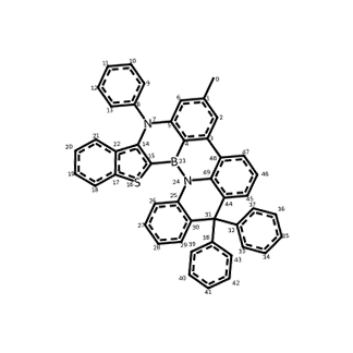 Cc1cc2c3c(c1)N(c1ccccc1)c1c(sc4ccccc14)B3N1c3ccccc3C(c3ccccc3)(c3ccccc3)c3cccc-2c31